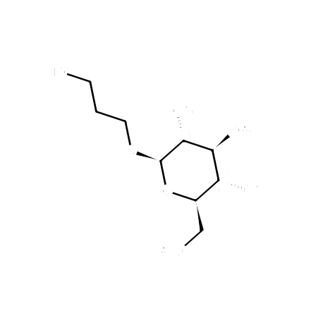 CC(=O)OC[C@H]1O[C@@H](SCCCO)[C@H](OC(C)=O)[C@@H](OC(C)=O)[C@@H]1OC(C)=O